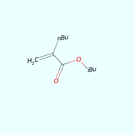 C=C(CCCC)C(=O)OC(C)CC